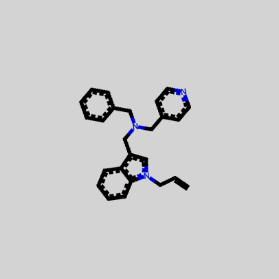 C=CCn1cc(CN(Cc2ccccc2)Cc2ccncc2)c2ccccc21